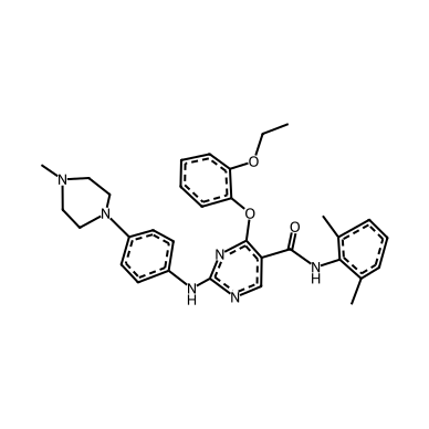 CCOc1ccccc1Oc1nc(Nc2ccc(N3CCN(C)CC3)cc2)ncc1C(=O)Nc1c(C)cccc1C